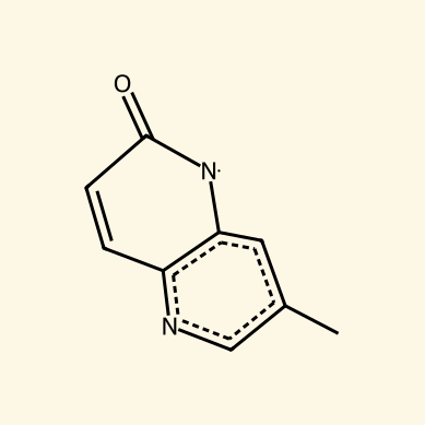 Cc1cnc2c(c1)[N]C(=O)C=C2